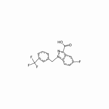 O=C(O)c1nn(Cc2cccc(C(F)(F)F)c2)c2ccc(F)cc12